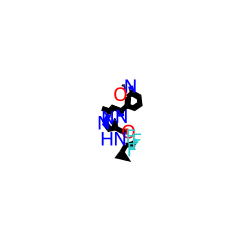 Cc1cc(-c2cccc3ncoc23)nc2c(C(=O)NC(C3CC3)C(F)(F)F)cnn12